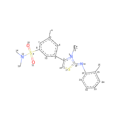 CCn1c(-c2cc(C)cc(S(=O)(=O)N(C)C)c2)csc1=Nc1ccccc1C